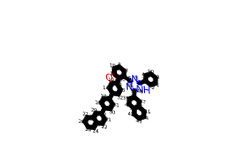 c1ccc(C2=NC(c3cccc4oc5cc(-c6ccc(-c7ccc8ccccc8c7)cc6)ccc5c34)=NC(c3ccc4ccccc4c3)N2)cc1